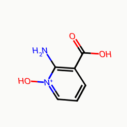 Nc1c(C(=O)O)ccc[n+]1O